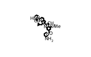 COc1cc(C(=O)N2CCC[C@@H](N)C2)cc2nc(-c3cc4ccc(N5CCCNS5(=O)=O)nc4n3CC3CC3)n(C)c12